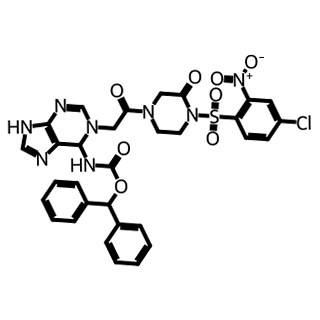 O=C(NC1c2nc[nH]c2N=CN1CC(=O)N1CCN(S(=O)(=O)c2ccc(Cl)cc2[N+](=O)[O-])C(=O)C1)OC(c1ccccc1)c1ccccc1